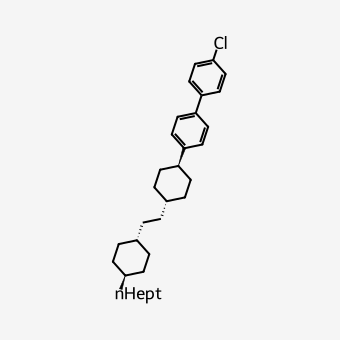 CCCCCCC[C@H]1CC[C@H](CC[C@H]2CC[C@H](c3ccc(-c4ccc(Cl)cc4)cc3)CC2)CC1